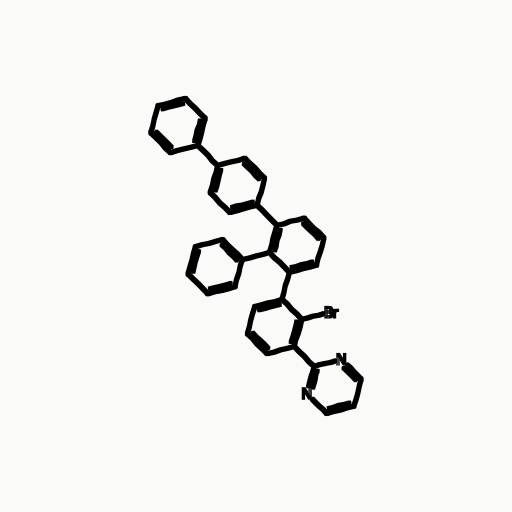 Brc1c(-c2ncccn2)cccc1-c1cccc(-c2ccc(-c3ccccc3)cc2)c1-c1ccccc1